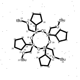 CC(C)(C)OC[Si]1(C2CCCC2)O[Si](COC(C)(C)C)(C2CCCC2)O[Si](COC(C)(C)C)(C2CCCC2)O[Si](COC(C)(C)C)(C2CCCC2)O1